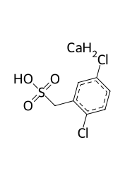 O=S(=O)(O)Cc1cc(Cl)ccc1Cl.[CaH2]